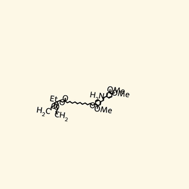 C=CCOCC(CC)(COCC=C)COC(=O)CCCCCCCCCCOc1ccc(/C=C(\N)c2ccc(OC)c(OC)c2)cc1OC